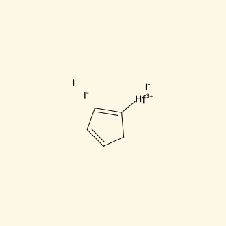 [Hf+3][C]1=CC=CC1.[I-].[I-].[I-]